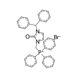 O=c1n(C[P+](c2ccccc2)(c2ccccc2)c2ccccc2)ccn1C(c1ccccc1)c1ccccc1.[Br-]